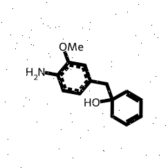 COc1cc(CC2(O)C=CC=CC2)ccc1N